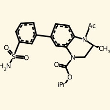 CC(=O)N1c2ccc(-c3cccc(S(N)(=O)=O)c3)cc2N(C(=O)OC(C)C)C[C@@H]1C